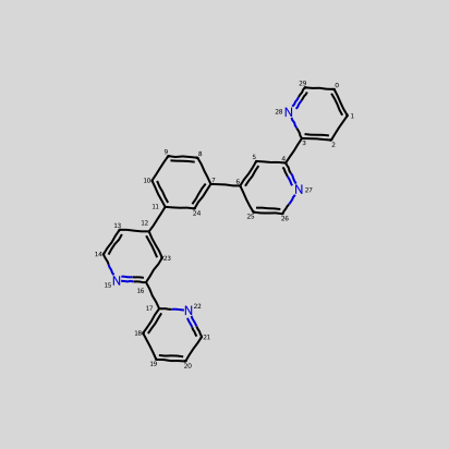 c1ccc(-c2cc(-c3cccc(-c4ccnc(-c5ccccn5)c4)c3)ccn2)nc1